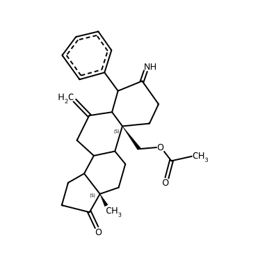 C=C1CC2C(CC[C@]3(C)C(=O)CCC23)[C@@]2(COC(C)=O)CCC(=N)C(c3ccccc3)C12